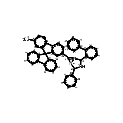 CC(C)(C)c1ccc2c(c1)C1(c3ccccc3-c3ccccc31)c1cc(C3N4C(c5ccccc5)NC(c5ccccc5-c5ccccc5)N34)ccc1-2